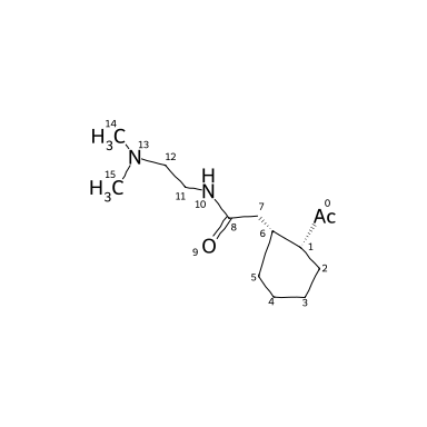 CC(=O)[C@@H]1CCCC[C@@H]1CC(=O)NCCN(C)C